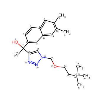 Cc1cc2ccc(C(O)(c3cn(COCC[Si](C)(C)C)nn3)C(C)C)cc2cc1C